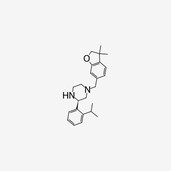 CC(C)c1ccccc1[C@@H]1CN(Cc2ccc3c(c2)OCC3(C)C)CCN1